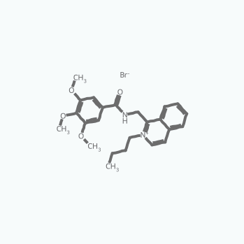 CCCC[n+]1ccc2ccccc2c1CNC(=O)c1cc(OC)c(OC)c(OC)c1.[Br-]